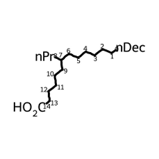 CCCCCCCCCCCCCCCCC(CCC)CCCCCC(=O)O